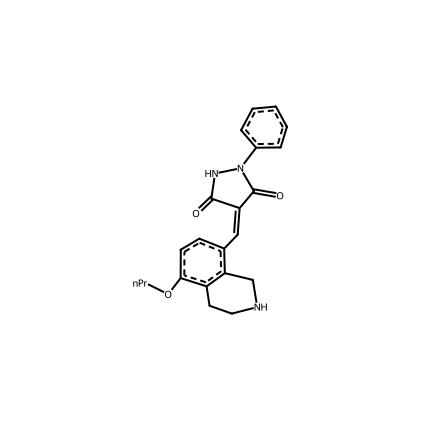 CCCOc1ccc(C=C2C(=O)NN(c3ccccc3)C2=O)c2c1CCNC2